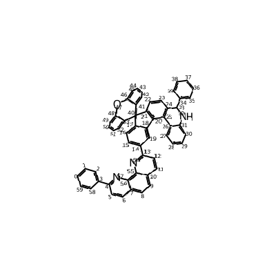 c1ccc(-c2ccc3ccc4ccc(-c5ccc6c(c5)-c5c(ccc7c5-c5ccccc5NC7c5ccccc5)C65c6ccccc6Oc6ccccc65)nc4c3n2)cc1